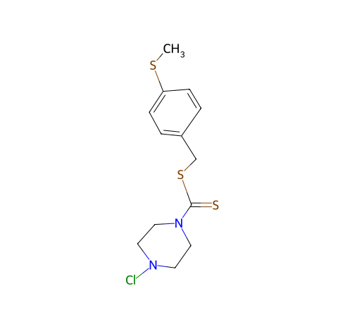 CSc1ccc(CSC(=S)N2CCN(Cl)CC2)cc1